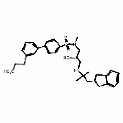 CN(C[C@H](O)CNC(C)(C)CC1Cc2ccccc2C1)S(=O)(=O)c1ccc(-c2cccc(CCC(=O)O)c2)cc1